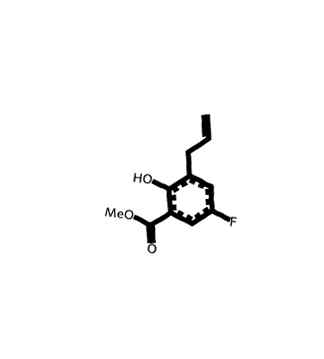 C=CCc1cc(F)cc(C(=O)OC)c1O